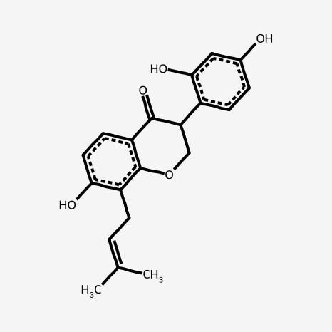 CC(C)=CCc1c(O)ccc2c1OCC(c1ccc(O)cc1O)C2=O